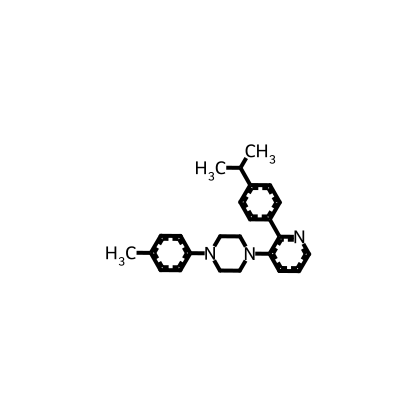 Cc1ccc(N2CCN(c3cccnc3-c3ccc(C(C)C)cc3)CC2)cc1